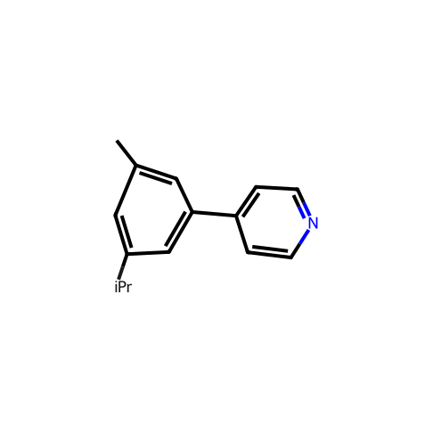 Cc1cc(-c2ccncc2)cc(C(C)C)c1